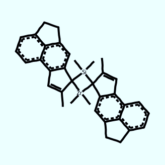 CC1=Cc2c(cc3c4c(cccc24)CC3)[C]12[Si](C)(C)[C]1(C(C)=Cc3c1cc1c4c(cccc34)CC1)[Zr]2([CH3])[CH3]